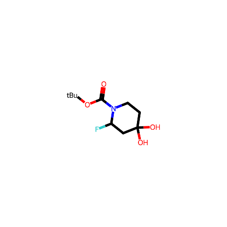 CC(C)(C)OC(=O)N1CCC(O)(O)CC1F